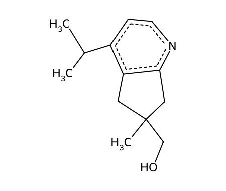 CC(C)c1ccnc2c1CC(C)(CO)C2